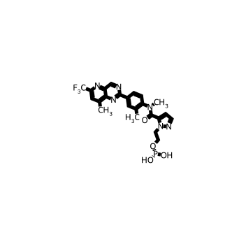 Cc1cc(-c2ncc3nc(C(F)(F)F)cc(C)c3n2)ccc1N(C)C(=O)c1ccnn1CCOP(O)O